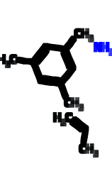 C=CC.Cc1cc(C)cc(C)c1.N